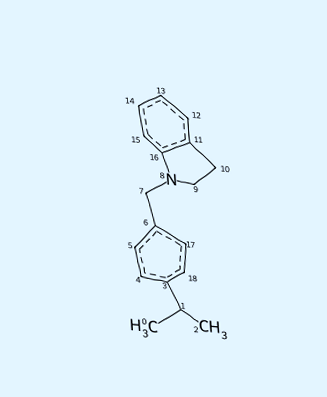 CC(C)c1ccc(CN2CCc3ccccc32)cc1